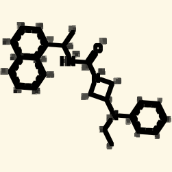 CCN(c1ccccc1)C1CN(C(=O)NC(C)c2cccc3ccccc23)C1